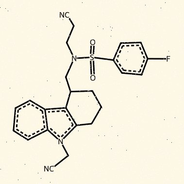 N#CCCN(CC1CCCc2c1c1ccccc1n2CC#N)S(=O)(=O)c1ccc(F)cc1